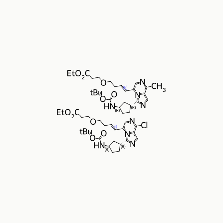 CCOC(=O)CCOCC/C=C/c1cnc(C)c2cnc([C@@H]3CC[C@@H](NC(=O)OC(C)(C)C)C3)n12.CCOC(=O)CCOCC/C=C/c1cnc(Cl)c2cnc([C@@H]3CC[C@@H](NC(=O)OC(C)(C)C)C3)n12